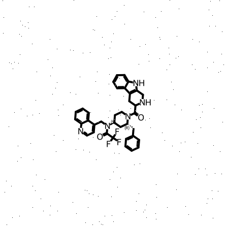 O=C(C1Cc2c([nH]c3ccccc23)CN1)N1CC[C@H](N(Cc2ccnc3ccccc23)C(=O)C(F)(F)F)C[C@H]1Cc1ccccc1